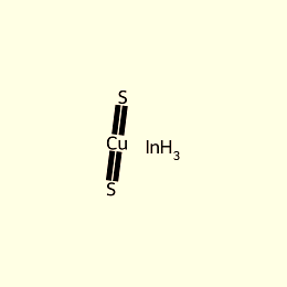 [InH3].[S]=[Cu]=[S]